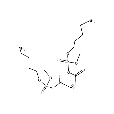 COP(=O)(OCCCCN)OC(=O)/C=C\C(=O)OP(=O)(OC)OCCCCN